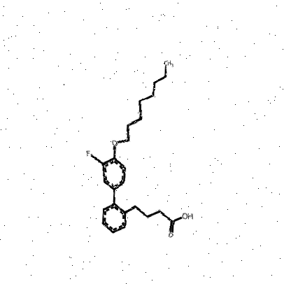 CCCCCCCCOc1ccc(-c2ccccc2CCCC(=O)O)cc1F